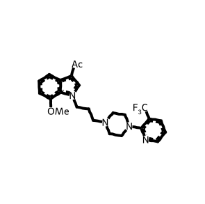 COc1cccc2c(C(C)=O)cn(CCCN3CCN(c4ncccc4C(F)(F)F)CC3)c12